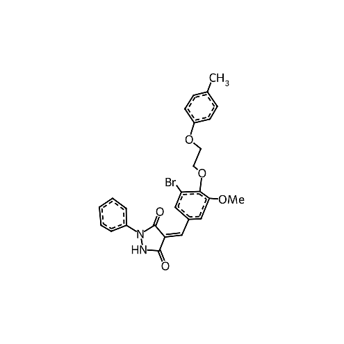 COc1cc(/C=C2/C(=O)NN(c3ccccc3)C2=O)cc(Br)c1OCCOc1ccc(C)cc1